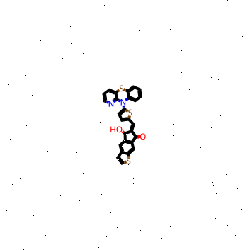 O=C1/C(=C/c2ccc(N3c4ccccc4Sc4cccnc43)s2)C(O)c2cc3ccsc3cc21